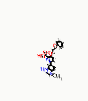 CN1CCNc2cc(-c3ccc(OCCCOc4ccccc4)c(C(=O)O)n3)ccc21